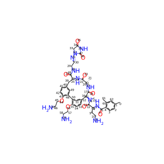 Cc1ccc(C(=O)N[C@@H](CCN)C(=O)N(C)[C@@H]2C(=O)N[C@@H](C)C(=O)N[C@H](C(=O)NC/C=N/N3CC(=O)NC3=O)Cc3ccc(OCCN)c(c3)-c3cc2ccc3OCCN)c(C)c1